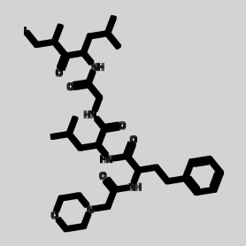 CC(C)CC(NC(=O)C(CCc1ccccc1)NC(=O)CN1CCOCC1)C(=O)NCC(=O)NC(CC(C)C)C(=O)C(C)CI